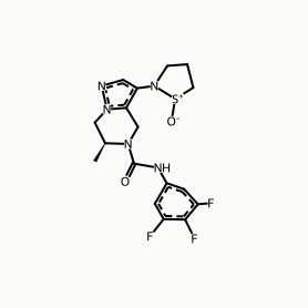 C[C@H]1Cn2ncc(N3CCC[S+]3[O-])c2CN1C(=O)Nc1cc(F)c(F)c(F)c1